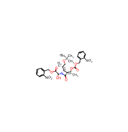 C[C@H](CO[Si](C)(C)C(C)(C)C)[C@@H]1[C@@H]([C@@H](C)OC(=O)OCc2ccccc2[N+](=O)[O-])C(=O)N1C(O)C(=O)OCc1ccccc1[N+](=O)[O-]